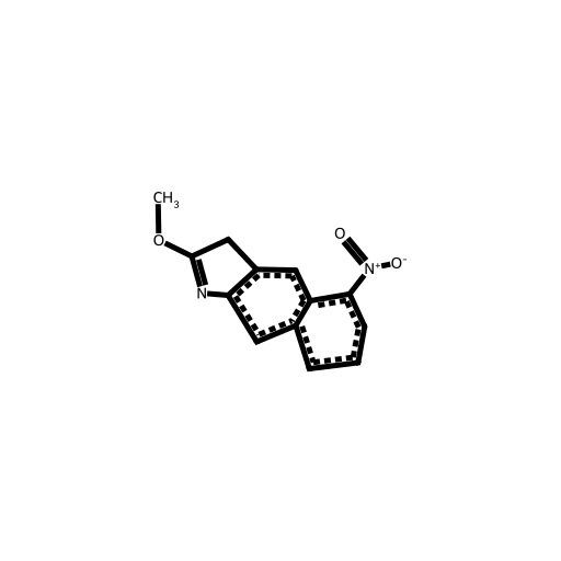 COC1=Nc2cc3cccc([N+](=O)[O-])c3cc2C1